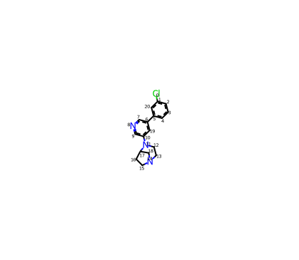 Clc1cccc(-c2cncc(N3CCN4CCC3C4)c2)c1